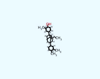 CCC12CC3CC(c4ccc(C)c(C)c4)(C1)CC(c1ccc(O)c(C)c1)(C3)C2